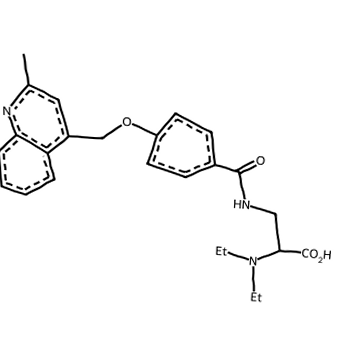 CCN(CC)C(CNC(=O)c1ccc(OCc2cc(C)nc3ccccc23)cc1)C(=O)O